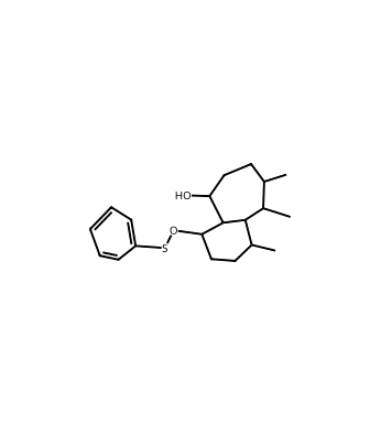 CC1CCC(O)C2C(OSc3ccccc3)CCC(C)C2C1C